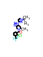 CC1Cc2c(nnn2-c2ccn(C(C)C)n2)CN1C(=O)c1cccc(C(F)(F)F)c1Cl